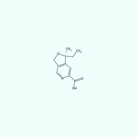 CC[C@]1(C)OCc2cnc(C(=O)O)cc21